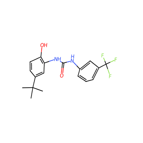 CC(C)(C)c1ccc(O)c(NC(=O)Nc2cccc(C(F)(F)F)c2)c1